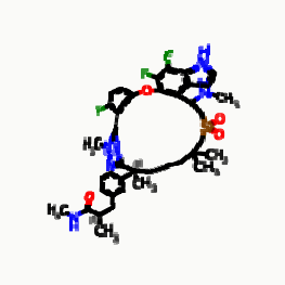 CNC(=O)[C@H](C)Cc1cccc([C@@]2(C)CCCC(C)(C)CS(=O)(=O)CC(NC)c3c(c(F)c(F)c4[nH]ccc34)Oc3ccc(F)c(c3)-c3nc2nn3C)c1